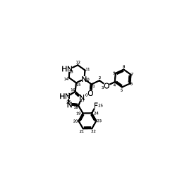 O=C(COc1ccccc1)N1CCNCC1c1nc(-c2ccccc2F)n[nH]1